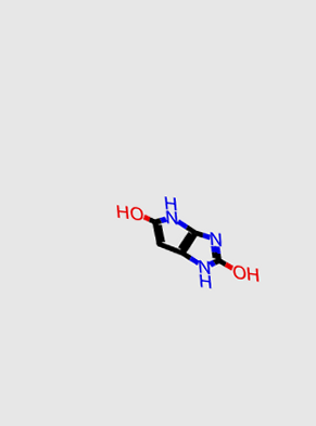 Oc1cc2[nH]c(O)nc2[nH]1